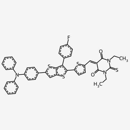 CCN1C(=O)C(=Cc2ccc(-c3sc4cc(-c5ccc(N(c6ccccc6)c6ccccc6)cc5)sc4c3-c3ccc(F)cc3)s2)C(=O)N(CC)C1=S